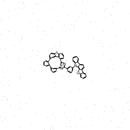 c1cc(-c2nc3nc(n2)c2cccc4sc5ccc(cc5c42)c2ccccc2c2cccc3c2)cc(-n2c3ccccc3c3ccc4c5ccccc5oc4c32)c1